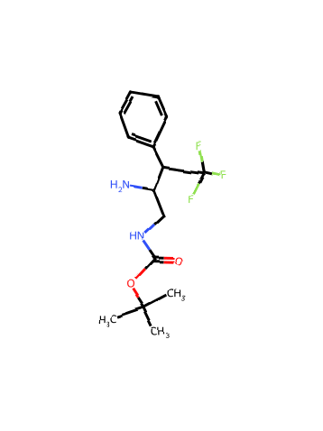 CC(C)(C)OC(=O)NCC(N)C(c1ccccc1)C(F)(F)F